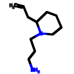 C=CCC1CCCCN1CCCN